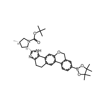 C[C@H]1C[C@@H](c2nc3c([nH]2)-c2cc4c(cc2CC3)-c2ccc(B3OC(C)(C)C(C)(C)O3)cc2CO4)N(C(=O)OC(C)(C)C)C1